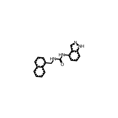 O=C(NCc1cccc2ccccc12)Nc1cccc2[nH]ncc12